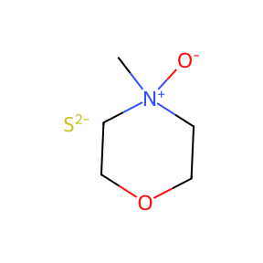 C[N+]1([O-])CCOCC1.[S-2]